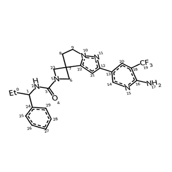 CCC(NC(=O)N1CC2(CCn3nc(-c4cnc(N)c(C(F)(F)F)c4)cc32)C1)c1ccccc1